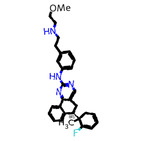 COCCNCCc1cccc(Nc2ncc3c(n2)-c2ccccc2[C@H](C2(C)CC=CC=C2F)C3)c1